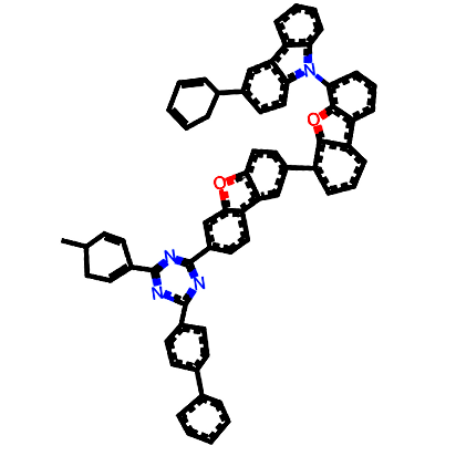 CC1C=CC(c2nc(-c3ccc(-c4ccccc4)cc3)nc(-c3ccc4c(c3)oc3ccc(-c5cccc6c5oc5c(-n7c8ccccc8c8cc(C9C=CC=CC9)ccc87)cccc56)cc34)n2)=CC1